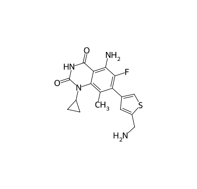 Cc1c(-c2csc(CN)c2)c(F)c(N)c2c(=O)[nH]c(=O)n(C3CC3)c12